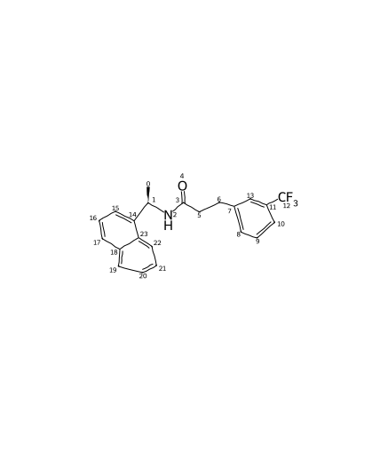 C[C@@H](NC(=O)CCc1cccc(C(F)(F)F)c1)c1cccc2ccccc12